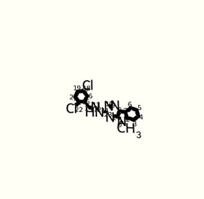 Cn1c2ccccc2c2nnc(NN=Cc3cc(Cl)ccc3Cl)nc21